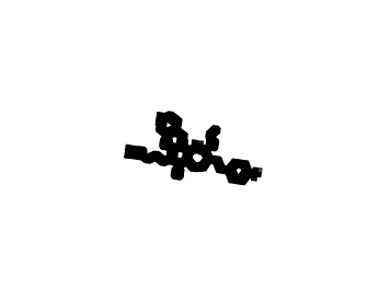 CCOC1=Nc2c(c(=O)n(CCCO)c(=O)n2Cc2ccncc2)CCC1CCC1=CC=C(F)CC1